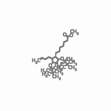 C=CCCC1C(O[Si](C)(C)C(C)(C)C)CC(O[Si](C)(C)C(C)(C)C)[C@@H]1CCCCCCC(=O)OC